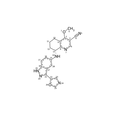 COc1c(C#N)cnc2c1CCC[C@H]2Nc1ccc2[nH]nc(-c3cnco3)c2c1